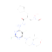 O=CN(O)C[C@H](CC1CCCC1)C(=O)NNc1nc(Cl)nc(N2CCN3CCOC[C@@H]3C2)c1F